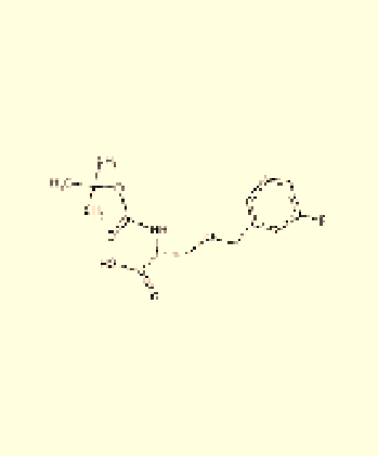 CC(C)(C)OC(=O)N[C@H](COCc1cccc(F)c1)C(=O)O